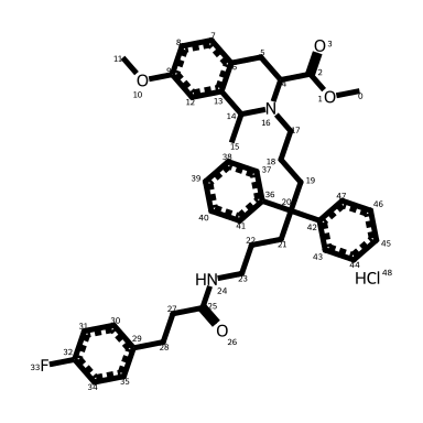 COC(=O)C1Cc2ccc(OC)cc2C(C)N1CCCC(CCCNC(=O)CCc1ccc(F)cc1)(c1ccccc1)c1ccccc1.Cl